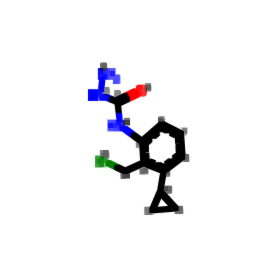 NNC(=O)Nc1cccc(C2CC2)c1CBr